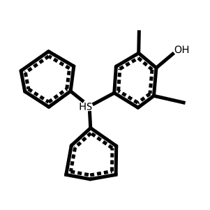 Cc1cc([SH](c2ccccc2)c2ccccc2)cc(C)c1O